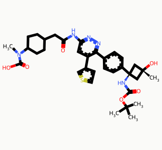 CN(C(=O)O)C1CCC(CC(=O)Nc2cc(-c3ccsc3)c(-c3ccc([C@]4(NC(=O)OC(C)(C)C)C[C@](C)(O)C4)cc3)nn2)CC1